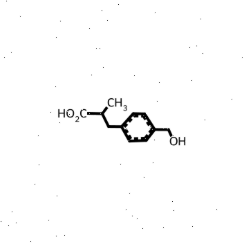 CC(Cc1ccc(CO)cc1)C(=O)O